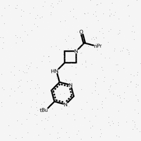 CCCC(=O)N1CC(Nc2cc(C(C)(C)C)ncn2)C1